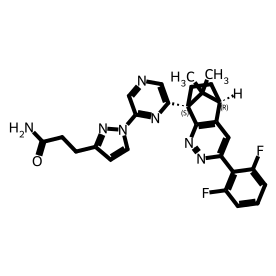 CC1(C)[C@H]2CC[C@]1(c1cncc(-n3ccc(CCC(N)=O)n3)n1)c1nnc(-c3c(F)cccc3F)cc12